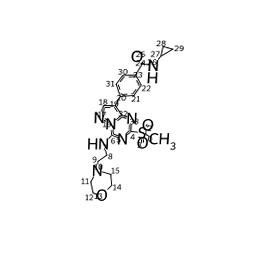 CS(=O)(=O)c1nc(NCCN2CCOCC2)n2ncc(-c3ccc(C(=O)NC4CC4)cc3)c2n1